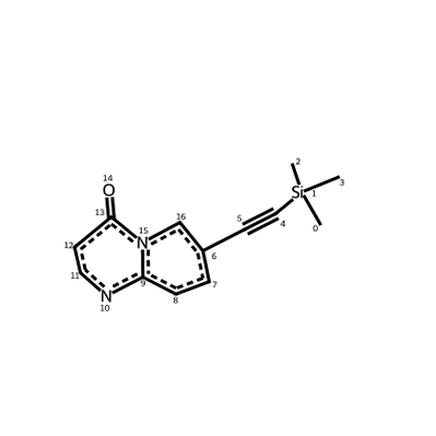 C[Si](C)(C)C#Cc1ccc2nccc(=O)n2c1